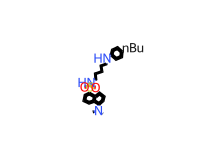 CCCCc1ccc(NCCCCCNS(=O)(=O)c2cccc3c(N(C)C)cccc23)cc1